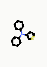 [c]1cc(N(c2ccccc2)c2ccccc2)cs1